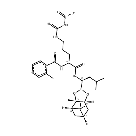 Cc1ccccc1C(=O)N[C@@H](CCCNC(=N)N[N+](=O)[O-])C(=O)N[C@@H](CC(C)C)B1O[C@@H]2C[C@@H]3C[C@@H](C3(C)C)[C@]2(C)O1